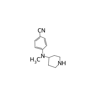 CN(c1ccc(C#N)cc1)C1CCNCC1